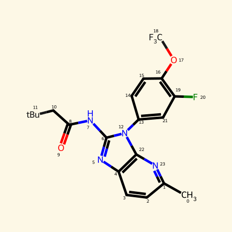 Cc1ccc2nc(NC(=O)CC(C)(C)C)n(-c3ccc(OC(F)(F)F)c(F)c3)c2n1